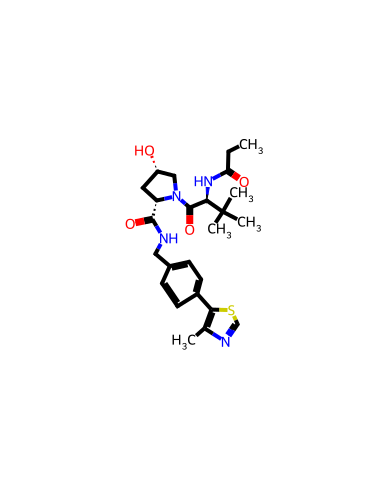 CCC(=O)N[C@H](C(=O)N1C[C@@H](O)C[C@H]1C(=O)NCc1ccc(-c2scnc2C)cc1)C(C)(C)C